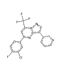 Fc1ccc(-c2cc(C(F)(F)F)n3ncc(-c4cccnc4)c3n2)cc1Cl